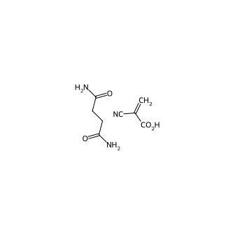 C=C(C#N)C(=O)O.NC(=O)CCC(N)=O